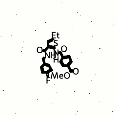 CCc1cc(C(=O)NCc2ccc(F)cc2)c(NC(=O)c2ccc(C(=O)OC)cc2)s1